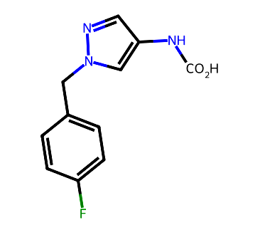 O=C(O)Nc1cnn(Cc2ccc(F)cc2)c1